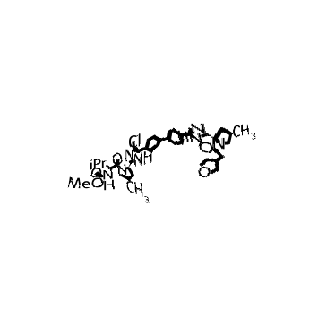 COC(=O)N[C@H](C(=O)N1C[C@@H](C)C[C@H]1c1nc(Cl)c(-c2ccc(-c3ccc(-c4cnc([C@@H]5C[C@H](C)CN5C(=O)CC5CCOCC5)[nH]4)cc3)cc2)[nH]1)C(C)C